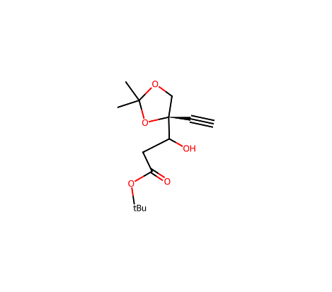 C#C[C@]1(C(O)CC(=O)OC(C)(C)C)COC(C)(C)O1